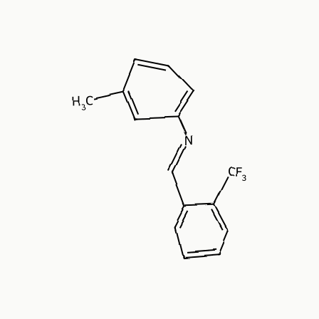 Cc1cccc(N=Cc2ccccc2C(F)(F)F)c1